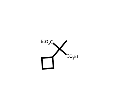 CCOC(=O)C(C)(C(=O)OCC)C1CCC1